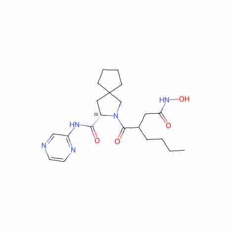 CCCCC(CC(=O)NO)C(=O)N1CC2(CCCC2)C[C@H]1C(=O)Nc1cnccn1